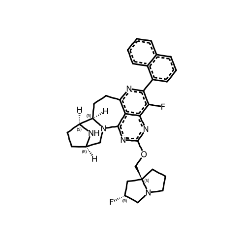 Fc1c(-c2cccc3ccccc23)nc2c3c(nc(OC[C@@]45CCCN4C[C@H](F)C5)nc13)N1C[C@H]3CC[C@H](N3)[C@H]1CC2